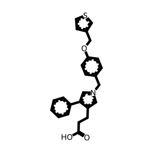 O=C(O)CCc1cn(Cc2ccc(OCc3ccsc3)cc2)cc1-c1ccccc1